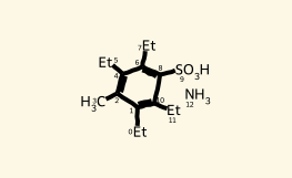 CCc1c(C)c(CC)c(CC)c(S(=O)(=O)O)c1CC.N